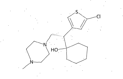 CN1CCN(C[C@H](c2csc(Cl)c2)C2(O)CCCCC2)CC1